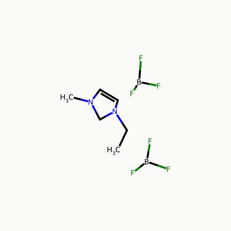 CCN1C=CN(C)C1.FB(F)F.FB(F)F